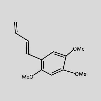 C=CC=Cc1cc(OC)c(OC)cc1OC